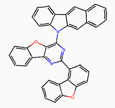 c1ccc2cc3c(cc2c1)c1ccccc1n3-c1nc(-c2cccc3oc4ccccc4c23)nc2c1oc1ccccc12